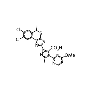 COc1ccnc(-c2c(C)nn(-c3nc4c(s3)SC(C)c3cc(Cl)c(Cl)cc3-4)c2C(=O)O)n1